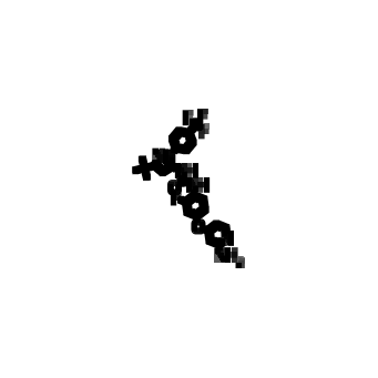 CC(C)(C)c1cc(NC(=O)Nc2ccc(Oc3ccnc(N)c3)cc2F)n(-c2ccc(C(F)(F)F)cc2)n1